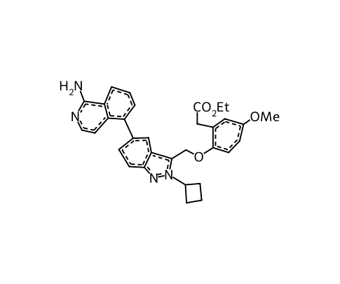 CCOC(=O)Cc1cc(OC)ccc1OCc1c2cc(-c3cccc4c(N)nccc34)ccc2nn1C1CCC1